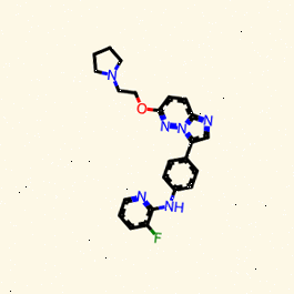 Fc1cccnc1Nc1ccc(-c2cnc3ccc(OCCN4CCCC4)nn23)cc1